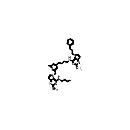 CCCCNc1nc(N)nc2ccn(Cc3cc(CCCCNc4nc(N)nc5ccn(CCCc6ccccc6)c45)cc(C)n3)c12